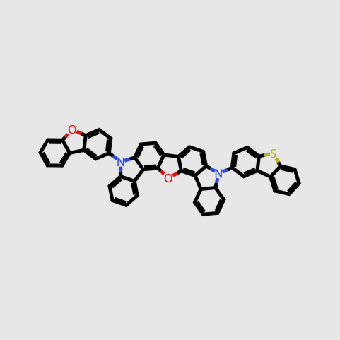 C1=CC2c3c(ccc4c3oc3c4ccc4c3c3ccccc3n4-c3ccc4oc5ccccc5c4c3)N(c3ccc4sc5ccccc5c4c3)C2C=C1